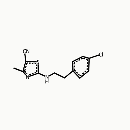 Cc1nc(NCCc2ccc(Cl)cc2)sc1C#N